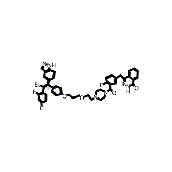 CC/C(=C(/c1ccc(OCCCOCCN2CCN(C(=O)c3cc(Cc4n[nH]c(=O)c5ccccc45)ccc3F)CC2)cc1)c1ccc2[nH]ncc2c1)c1ccc(Cl)cc1F